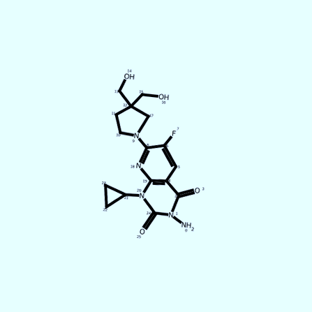 Nn1c(=O)c2cc(F)c(N3CCC(CO)(CO)C3)nc2n(C2CC2)c1=O